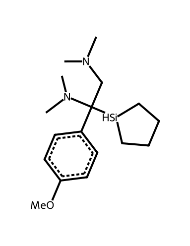 COc1ccc(C(CN(C)C)(N(C)C)[SiH]2CCCC2)cc1